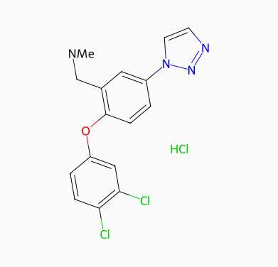 CNCc1cc(-n2ccnn2)ccc1Oc1ccc(Cl)c(Cl)c1.Cl